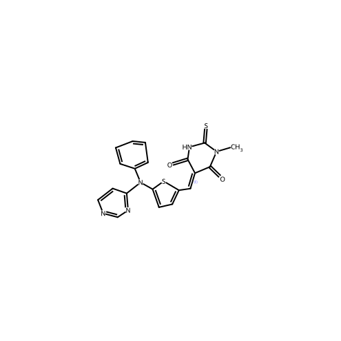 CN1C(=O)/C(=C/c2ccc(N(c3ccccc3)c3ccncn3)s2)C(=O)NC1=S